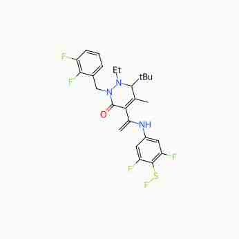 C=C(Nc1cc(F)c(SF)c(F)c1)C1=C(C)C(C(C)(C)C)N(CC)N(Cc2cccc(F)c2F)C1=O